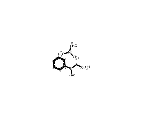 CC(=O)N(CC(=O)O)c1ccccc1.CN(C)C=O